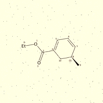 CCOC(=O)C1=CC=C[C@@H](C)C1